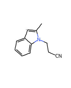 Cc1[c]c2ccccc2n1CCC#N